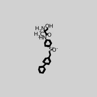 C[C@](N)(CO)C(=O)Nc1ccc([S+]([O-])CCc2ccc(-c3ccccc3)cc2)cc1